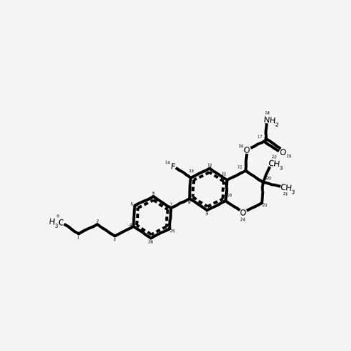 CCCCc1ccc(-c2cc3c(cc2F)C(OC(N)=O)C(C)(C)CO3)cc1